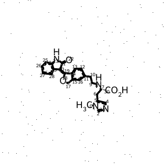 Cn1cncc1C[C@H](NCCc1ccc2c(c1)CO/C2=C1/C(=O)Nc2ccccc21)C(=O)O